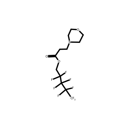 O=C(CCN1CCOCC1)OCC(F)(F)C(F)(F)C(F)(F)C(F)(F)F